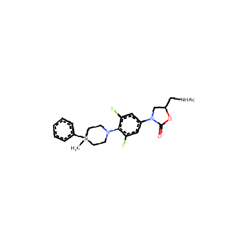 CC(=O)NCC1CN(c2cc(F)c(N3CC[Si](C)(c4ccccc4)CC3)c(F)c2)C(=O)O1